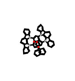 c1ccc(-c2cccc(-n3c4ccccc4c4ccc5c6ccccc6n(-c6cccc(-n7c8ccccc8c8ccc9c%10ccccc%10n(-c%10cccc(-c%11ccccc%11)c%10)c9c87)c6)c5c43)c2)cc1